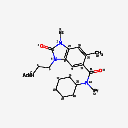 CCn1c(=O)n(CCNC(C)=O)c2cc(C(=O)N(C(C)C)C3CCCCC3)c(C)cc21